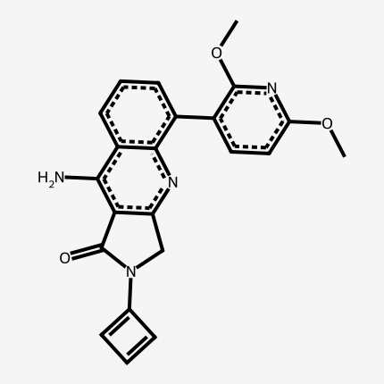 COc1ccc(-c2cccc3c(N)c4c(nc23)CN(C2=CC=C2)C4=O)c(OC)n1